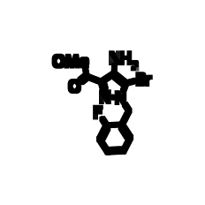 COC(=O)c1nn(Cc2ccccc2F)c(Br)c1N